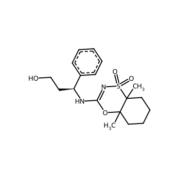 CC12CCCCC1(C)S(=O)(=O)N=C(N[C@@H](CCO)c1ccccc1)O2